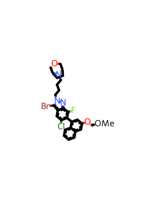 COCOc1cc(-c2c(Cl)cc3c(Br)n(CCCCN4C5CCC4COC5)nc3c2F)c2ccccc2c1